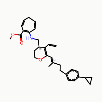 C=CC1=C(/C=C(\C)CCc2ccc(C3CC3)cc2)OCC[C@H]1CNC1=C(C(=O)OC)C=CCC=C1